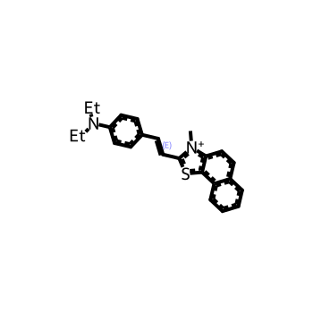 CCN(CC)c1ccc(/C=C/c2sc3c4ccccc4ccc3[n+]2C)cc1